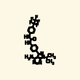 CC(C)n1nc(-c2ccc(NC(=O)Nc3ccc(C(F)(F)C(F)(F)F)cc3)cc2)c2c(N)ncnc21